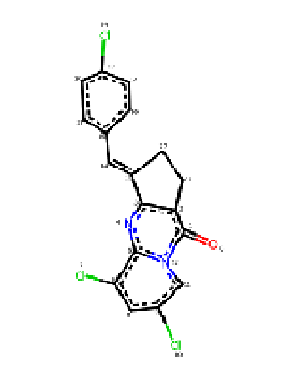 O=c1c2c(nc3c(Cl)cc(Cl)cn13)C(=Cc1ccc(Cl)cc1)CC2